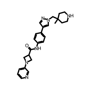 CC1(Cn2cc(-c3ccc(NC(=O)C4CN(c5cccnc5)C4)cc3)cn2)CCNCC1